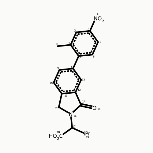 Cc1cc([N+](=O)[O-])ccc1-c1ccc2c(c1)C(=O)N(C(C(=O)O)C(C)C)C2